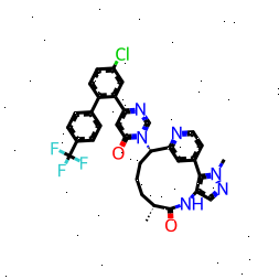 C[C@@H]1CCC[C@H](n2cnc(-c3cc(Cl)ccc3-c3ccc(C(F)(F)F)cc3)cc2=O)c2cc(ccn2)-c2c(cnn2C)NC1=O